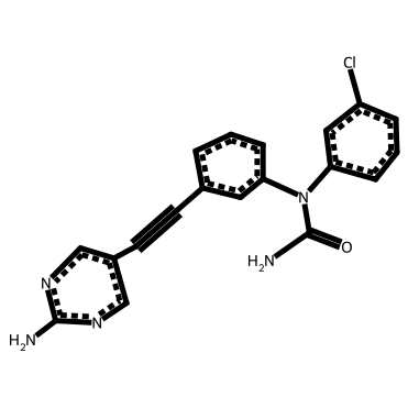 NC(=O)N(c1cccc(Cl)c1)c1cccc(C#Cc2cnc(N)nc2)c1